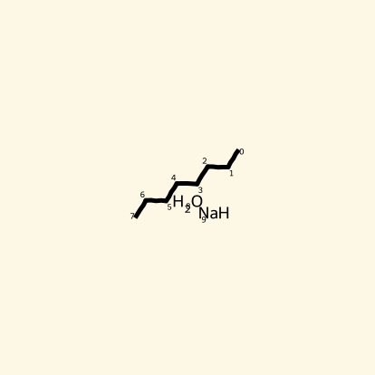 CCCCCCCC.O.[NaH]